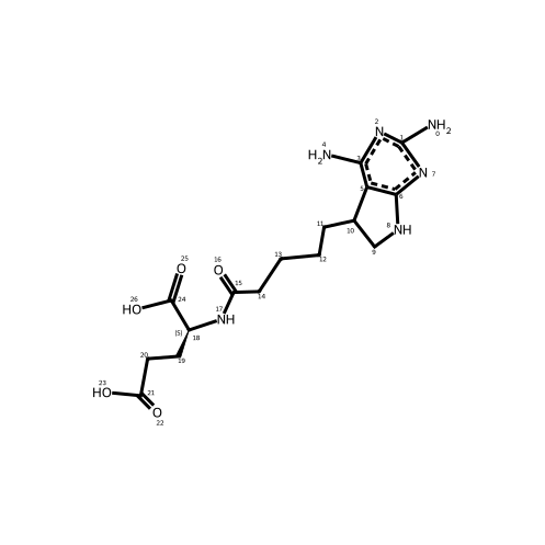 Nc1nc(N)c2c(n1)NCC2CCCCC(=O)N[C@@H](CCC(=O)O)C(=O)O